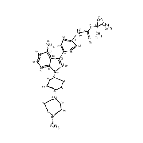 CN1CCN([C@H]2CC[C@@H](n3nc(-c4ccc(NC(=O)OC(C)(C)C)cc4)c4c(N)ncnc43)CC2)CC1